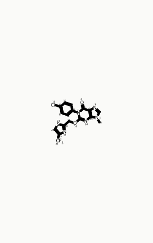 Cn1cnc2c(=O)n(-c3ccc(Cl)cc3)c(OCc3nc(C(F)(F)F)cs3)nc21